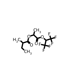 CCC(C)C(=O)OC(C)C(=O)OC(C(F)(F)F)C(F)(F)F